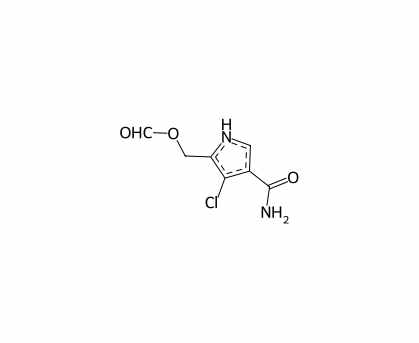 NC(=O)c1c[nH]c(COC=O)c1Cl